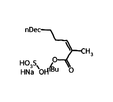 CCCCCCCCCCCCC=C(C)C(=O)OCCCC.O=S(=O)(O)O.[NaH]